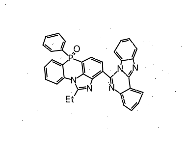 CCc1nc2c(-c3nc4ccccc4c4nc5ccccc5n34)ccc3c2n1-c1ccccc1P3(=O)c1ccccc1